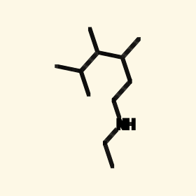 CCNCCC(C)C(C)C(C)C